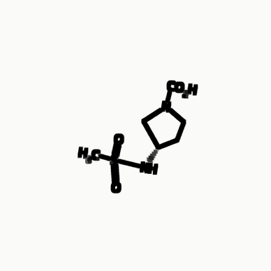 CS(=O)(=O)N[C@H]1CCN(C(=O)O)C1